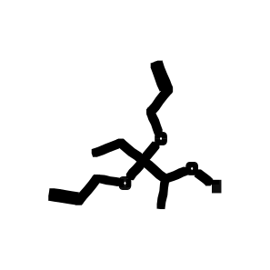 C=CCOC(CC)(OCC=C)C(C)[O][Ti]